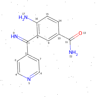 N=C(c1ccncc1)c1cc(C(N)=O)ccc1N